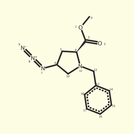 COC(=O)[C@@H]1CC(N=[N+]=[N-])CN1Cc1ccccc1